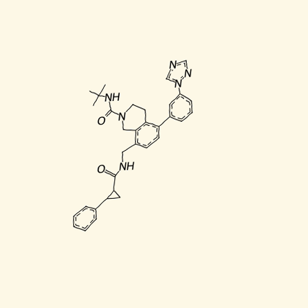 CC(C)(C)NC(=O)N1CCc2c(-c3cccc(-n4cncn4)c3)ccc(CNC(=O)C3CC3c3ccccc3)c2C1